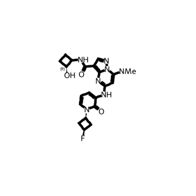 CNc1cc(Nc2cccn([C@H]3C[C@H](F)C3)c2=O)nc2c(C(=O)NC3CC[C@H]3O)cnn12